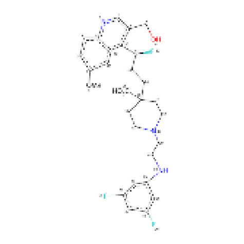 COc1ccc2ncc(CO)c([C@@H](F)CCC3(C(=O)O)CCN(CCNc4cc(F)cc(F)c4)CC3)c2c1